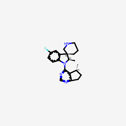 C[C@@H]1CCc2ncnc(N3c4ccc(F)cc4[C@@]4(CCCNC4)[C@H]3C)c21